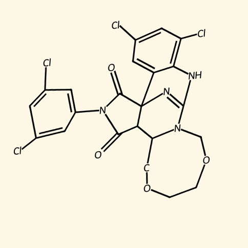 O=C1C2C3COCCOCN3C3=NC2(C(=O)N1c1cc(Cl)cc(Cl)c1)c1cc(Cl)cc(Cl)c1N3